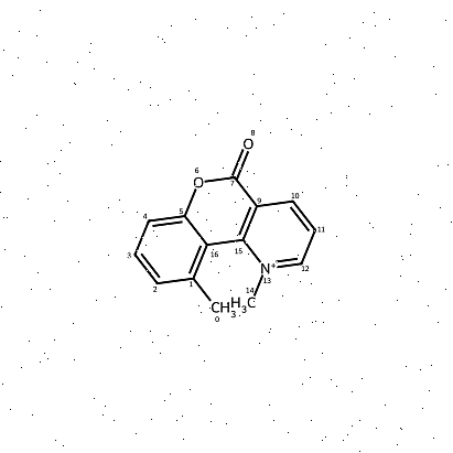 Cc1cccc2oc(=O)c3ccc[n+](C)c3c12